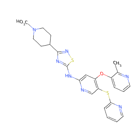 Cc1ncccc1Oc1cc(Nc2nc(C3CCN(C(=O)O)CC3)ns2)ncc1Sc1ccccn1